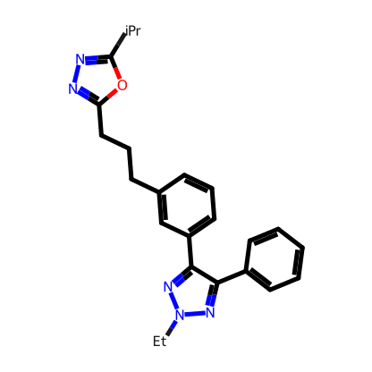 CCn1nc(-c2ccccc2)c(-c2cccc(CCCc3nnc(C(C)C)o3)c2)n1